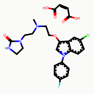 CN(CCOc1cn(-c2ccc(F)cc2)c2ccc(Cl)cc12)CCN1CCNC1=O.O=C(O)/C=C\C(=O)O